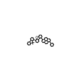 CC1(C)c2ccccc2-c2cccc(-c3cccc4c3oc3cccc(-c5ccc6ccc7c(-c8ccccc8)ccc8ccc5c6c87)c34)c21